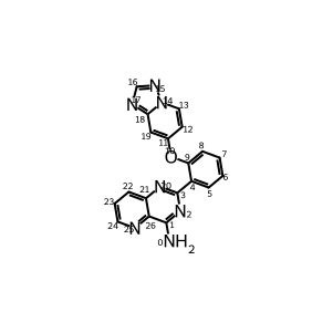 Nc1nc(-c2ccccc2Oc2ccn3ncnc3c2)nc2cccnc12